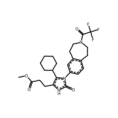 COC(=O)CCc1[nH]c(=O)n(-c2ccc3c(c2)CCN(C(=O)C(F)(F)F)CC3)c1C1CCCCC1